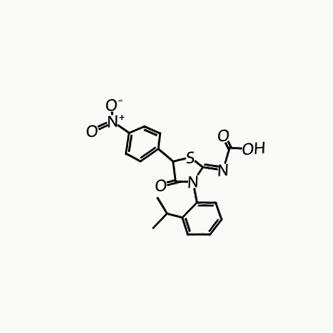 CC(C)c1ccccc1N1C(=O)C(c2ccc([N+](=O)[O-])cc2)SC1=NC(=O)O